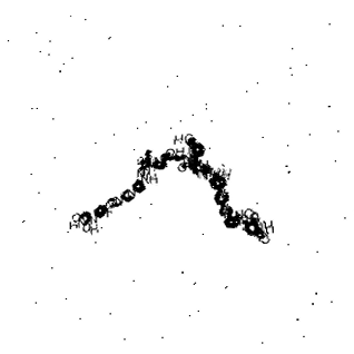 C=CCn1c(=O)c2cnc(Nc3ccc(N4CCC(N5CCN(c6ccc(NC7CCC(=O)NC7=O)cc6F)CC5)CC4)cc3)nc2n1-c1cccc(C(C)(O)C/C=C/Cn2c(=O)c3cnc(Nc4ccc(N5CCC(N6CCN(c7cccc8c7n(C)c(=O)n8C7CCC(=O)NC7=O)CC6)CC5)cc4)nc3n2-c2cccc(C(C)(C)O)n2)n1